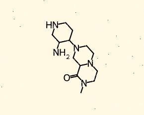 CN1CCN2CCN(C3CCNCC3N)CC2C1=O